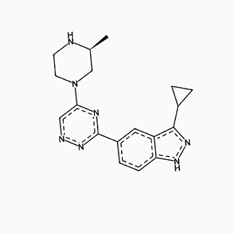 C[C@H]1CN(c2cnnc(-c3ccc4[nH]nc(C5CC5)c4c3)n2)CCN1